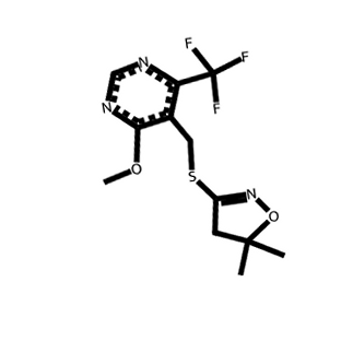 COc1ncnc(C(F)(F)F)c1CSC1=NOC(C)(C)C1